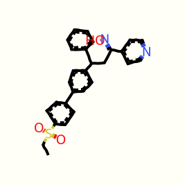 CCS(=O)(=O)c1ccc(-c2ccc(C(C/C(=N\O)c3ccncc3)c3ccccc3)cc2)cc1